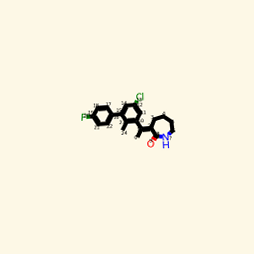 C/C(=C1/CCCCNC1=O)c1cc(Cl)cc(-c2ccc(F)cc2)c1C